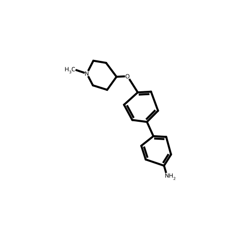 CN1CCC(Oc2ccc(-c3ccc(N)cc3)cc2)CC1